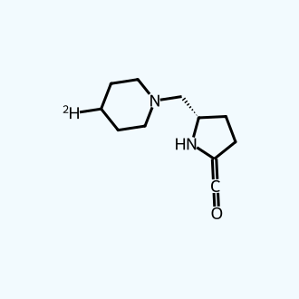 [2H]C1CCN(C[C@@H]2CCC(=C=O)N2)CC1